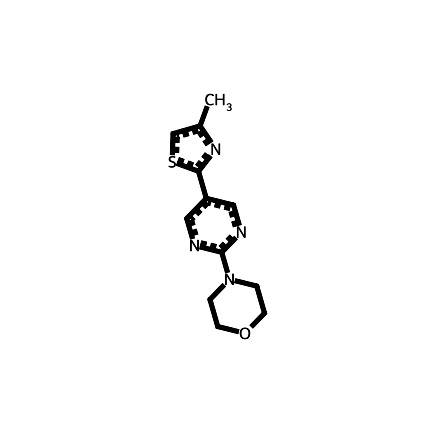 Cc1csc(-c2cnc(N3CCOCC3)nc2)n1